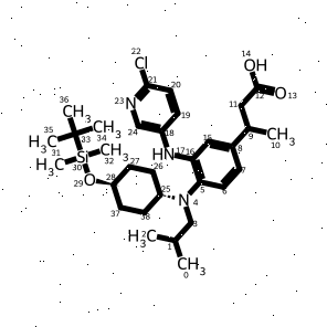 CC(C)CN(c1ccc(C(C)CC(=O)O)cc1Nc1ccc(Cl)nc1)[C@H]1CC[C@H](O[Si](C)(C)C(C)(C)C)CC1